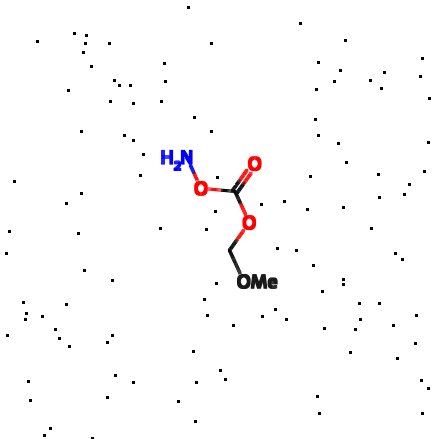 COCOC(=O)ON